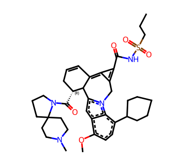 CCCS(=O)(=O)NC(=O)C1=C2Cn3c(cc4c(OC)ccc(C5CCCCC5)c43)C3C(=C21)C=CC[C@H]3C(=O)N1CCCC12CCN(C)CC2